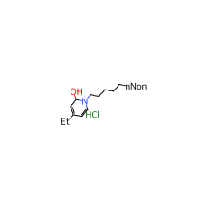 CCCCCCCCCCCCCCN1C=CC(CC)=CC1O.Cl